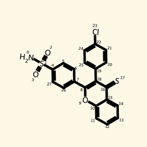 NS(=O)(=O)c1ccc(-c2oc3ccccc3c(=S)c2-c2ccc(Cl)cc2)cc1